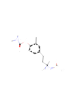 Cc1cc(CCC(C)(C)N[S@+]([O-])C(C)(C)C)ccc1OC(=O)N(C)C